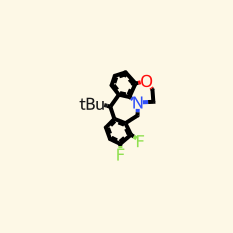 CC(C)(C)C1c2ccc(F)c(F)c2CN2CCOc3cccc1c32